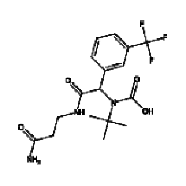 CC(C)(C)N(C(=O)O)C(C(=O)NCCC(N)=O)c1cccc(C(F)(F)F)c1